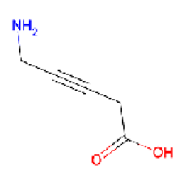 NCC#CCC(=O)O